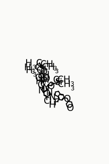 CC(C)(C)[Si](C)(C)O[C@@H]1CO[C@H]2[C@@H]1OC[C@H]2Oc1nc2cc(Cl)c(NC3CCc4cc(OC5CCOCC5)cc(F)c43)nc2n1COCC[Si](C)(C)C